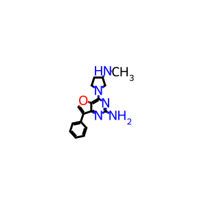 CNC1CCN(c2nc(N)nc3c(-c4ccccc4)coc23)C1